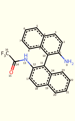 Nc1ccc2ccccc2c1-c1c(NC(=O)C(F)(F)F)ccc2ccccc12